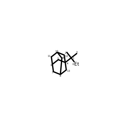 [CH2]CC(C)(C)C12CC3CC(CC(C3)C1)C2